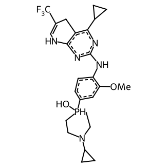 COc1cc([PH]2(O)CCN(C3CC3)CC2)ccc1Nc1nc2c(c(C3CC3)n1)CC(C(F)(F)F)=CN2